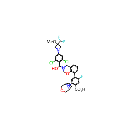 COC1(C(F)F)CN(c2cc(Cl)c(C(O)N3COc4c(cccc4-c4cc(N5C6CCC5COC6)c(C(=O)O)cc4F)C3)c(Cl)c2)C1